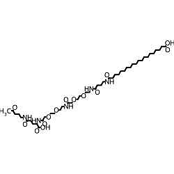 CC(=O)CCCNC(=O)CCC(NC(=O)COCCOCCNC(=O)COCCOCCNC(=O)CCCNC(=O)CCCCCCCCCCCCCCCCCCC(=O)O)C(=O)O